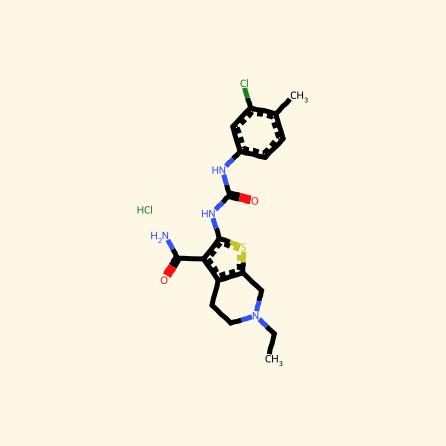 CCN1CCc2c(sc(NC(=O)Nc3ccc(C)c(Cl)c3)c2C(N)=O)C1.Cl